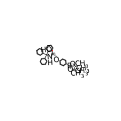 CC1(C)OB(c2ccc(OC[C@@H](CO)NC(c3ccccc3)(c3ccccc3)c3ccccc3)cc2)OC1(C)C